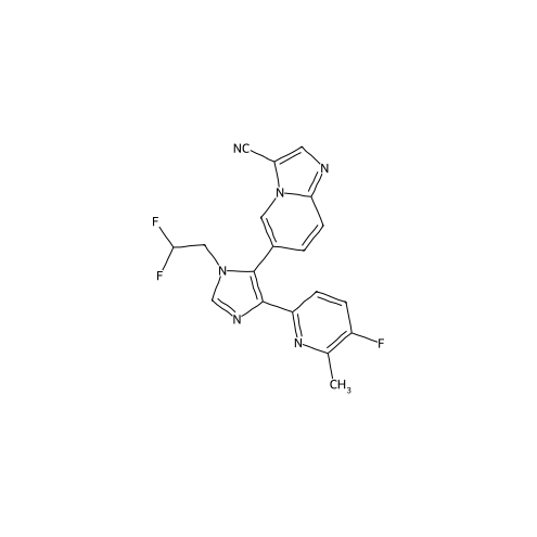 Cc1nc(-c2ncn(CC(F)F)c2-c2ccc3ncc(C#N)n3c2)ccc1F